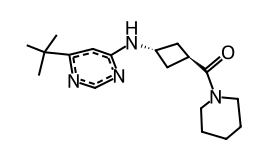 CC(C)(C)c1cc(N[C@H]2C[C@H](C(=O)N3CCCCC3)C2)ncn1